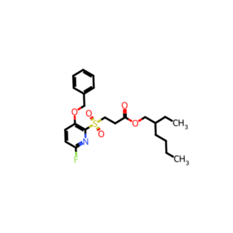 CCCCC(CC)COC(=O)CCS(=O)(=O)c1nc(F)ccc1OCc1ccccc1